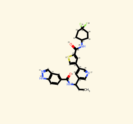 CCC(NC(=O)c1ccc2[nH]ncc2c1)c1cncc(-c2csc(C(=O)NC3CCC(F)(F)CC3)c2)c1